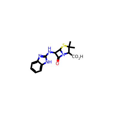 CC1(C)SC2C(Nc3nc4ccccc4[nH]3)C(=O)N2C1C(=O)O